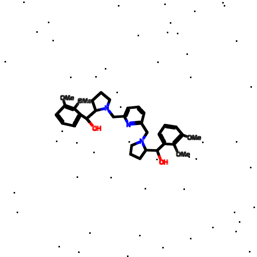 COc1cccc(C(O)C2CCCN2Cc2cccc(CN3CCCC3C(O)c3cccc(OC)c3OC)n2)c1OC